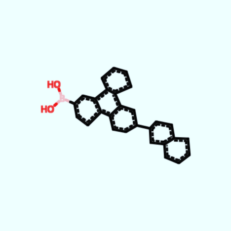 OB(O)c1ccc2c3ccc(-c4ccc5ccccc5c4)cc3c3ccccc3c2c1